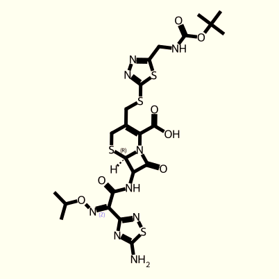 CC(C)O/N=C(\C(=O)NC1C(=O)N2C(C(=O)O)=C(CSc3nnc(CNC(=O)OC(C)(C)C)s3)CS[C@H]12)c1nsc(N)n1